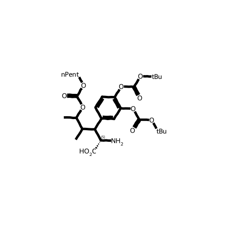 CCCCCOC(=O)OC(C)C(C)C(c1ccc(OC(=O)OC(C)(C)C)c(OC(=O)OC(C)(C)C)c1)[C@H](N)C(=O)O